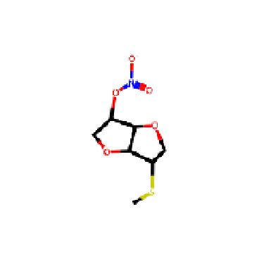 CSC1COC2C(O[N+](=O)[O-])COC12